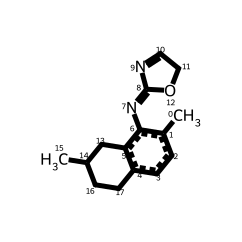 Cc1ccc2c(c1N=C1N=CCO1)CC(C)CC2